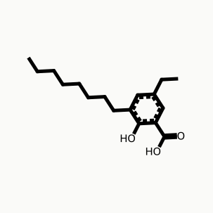 CCCCCCCCc1cc(CC)cc(C(=O)O)c1O